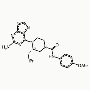 COc1ccc(NC(=O)N2CCN(c3nc(N)nc4scnc34)[C@@H](CC(C)C)C2)cc1